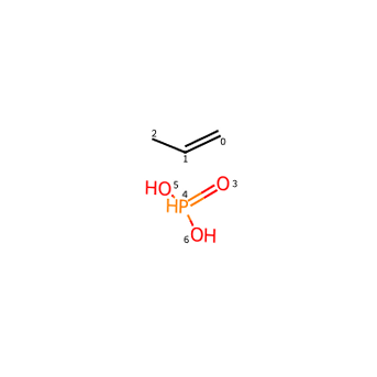 C=CC.O=[PH](O)O